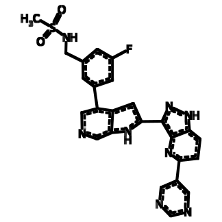 CS(=O)(=O)NCc1cc(F)cc(-c2cncc3[nH]c(-c4n[nH]c5ccc(-c6cncnc6)nc45)cc23)c1